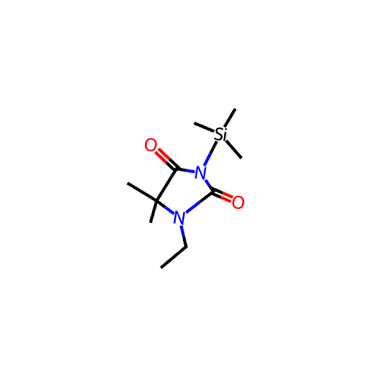 CCN1C(=O)N([Si](C)(C)C)C(=O)C1(C)C